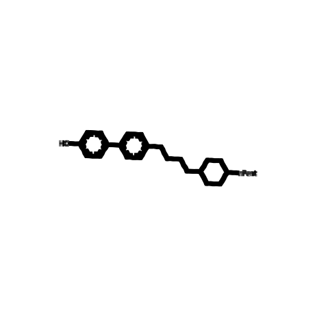 CCCCCC1CCC(CCCCc2ccc(-c3ccc(O)cc3)cc2)CC1